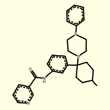 CC1CCC(c2cccc(NC(=O)c3cccnc3)c2)(N2CCN(c3ccccc3)CC2)CC1